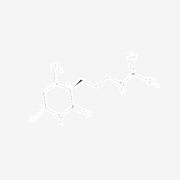 CC(=O)[C@@H]1CN(C)[C@@H](CCCNC(=N)N)C(=O)N1